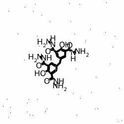 NNC(=O)c1cc(Cc2cc(C(=O)NN)c(O)c(C(=O)NN)c2)cc(C(=O)NN)c1O